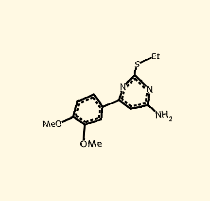 CCSc1nc(N)cc(-c2ccc(OC)c(OC)c2)n1